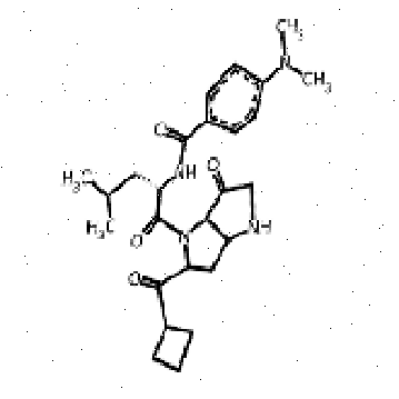 CC(C)C[C@H](NC(=O)c1ccc(N(C)C)cc1)C(=O)N1C(C(=O)C2CCC2)CC2NCC(=O)C21